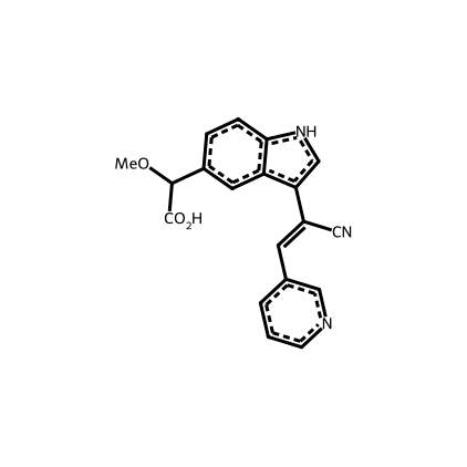 COC(C(=O)O)c1ccc2[nH]cc(C(C#N)=Cc3cccnc3)c2c1